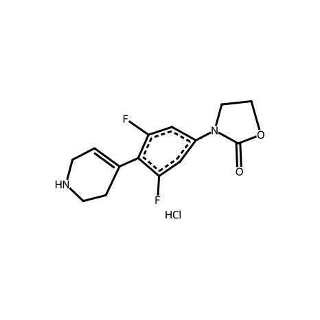 Cl.O=C1OCCN1c1cc(F)c(C2=CCNCC2)c(F)c1